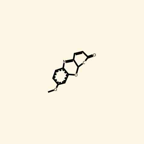 COc1ccc2c(c1)OC1CC(=O)C=CC1=N2